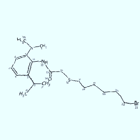 CC(C)c1cccc(C(C)C)c1NC(=O)CSCCCCCCBr